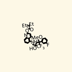 CCN(CC)C(=O)Oc1ccc2c(NCC(O)(CC(C)(C)c3cc(F)ccc3OC)C(F)(F)F)cccc2n1